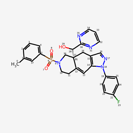 Cc1cccc(S(=O)(=O)N2CCC3=Cc4c(cnn4-c4ccc(F)cc4)C[C@]3(C(O)c3ncccn3)C2)c1